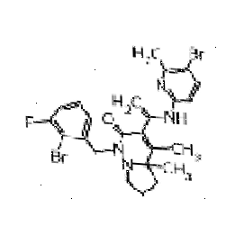 C=C(Nc1ccc(Br)c(C)n1)C1=C(C)C2(C)CCCN2N(Cc2cccc(F)c2Br)C1=O